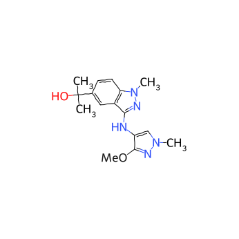 COc1nn(C)cc1Nc1nn(C)c2ccc(C(C)(C)O)cc12